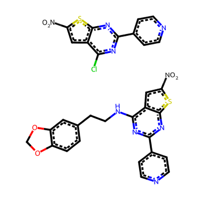 O=[N+]([O-])c1cc2c(Cl)nc(-c3ccncc3)nc2s1.O=[N+]([O-])c1cc2c(NCCc3ccc4c(c3)OCO4)nc(-c3ccncc3)nc2s1